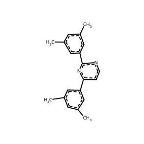 Cc1cc(C)cc(-c2ccnc(-c3cc(C)cc(C)c3)n2)c1